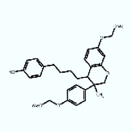 COCOc1ccc(C2(C)COc3cc(OCOC)ccc3C2CCCCc2ccc(O)cc2)cc1